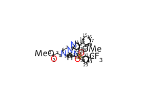 COC(=O)CCN1CCN2c3ncc(C4=CCC=CC=C4OC)cc3N(S(=O)(=O)c3cccc(C(F)(F)F)c3)C[C@@H]2C1